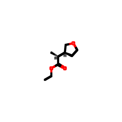 CCOC(=O)[C@H](C)[C@@H]1CCOC1